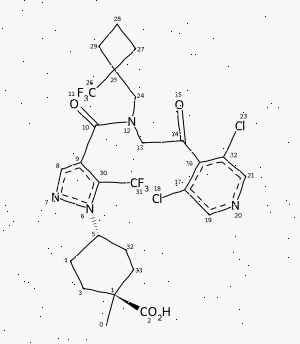 C[C@]1(C(=O)O)CC[C@H](n2ncc(C(=O)N(CC(=O)c3c(Cl)cncc3Cl)CC3(C(F)(F)F)CCC3)c2C(F)(F)F)CC1